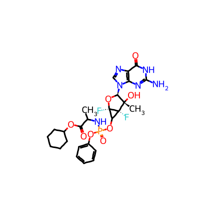 CC(NP(=O)(Oc1ccccc1)OC1[C@]2(F)[C@@](C)(O)[C@H](n3cnc4c(=O)[nH]c(N)nc43)O[C@]12F)C(=O)OC1CCCCC1